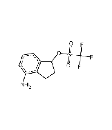 Nc1cccc2c1CCC2OS(=O)(=O)C(F)(F)F